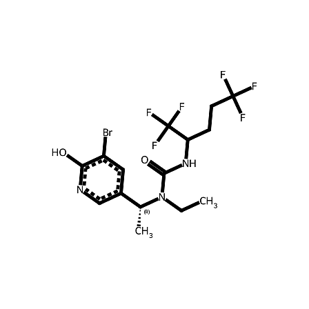 CCN(C(=O)NC(CCC(F)(F)F)C(F)(F)F)[C@H](C)c1cnc(O)c(Br)c1